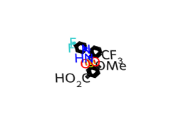 COc1ccc(C(=O)O)cc1S(=O)(=O)Nc1cc(C(F)(F)F)ccc1N1CCC(F)(F)CC1